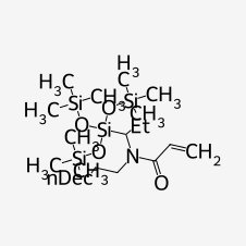 C=CC(=O)N(CCCCCCCCCCCC)C(CC)[Si](O[Si](C)(C)C)(O[Si](C)(C)C)O[Si](C)(C)C